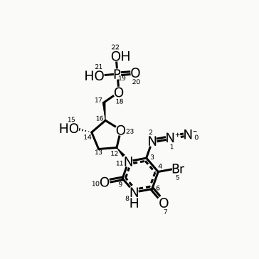 [N-]=[N+]=Nc1c(Br)c(=O)[nH]c(=O)n1[C@H]1C[C@H](O)[C@@H](COP(=O)(O)O)O1